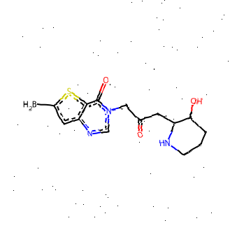 Bc1cc2ncn(CC(=O)CC3NCCCC3O)c(=O)c2s1